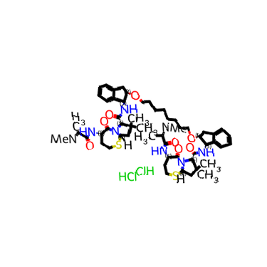 CNC(C)C(=O)N[C@H]1CCS[C@H]2CC(C)(C)[C@@H](C(=O)N[C@H]3c4ccccc4C[C@H]3OCCCCCCCCO[C@@H]3Cc4ccccc4[C@@H]3NC(=O)[C@H]3N4C(=O)[C@@H](NC(=O)C(C)NC)CCS[C@H]4CC3(C)C)N2C1=O.Cl.Cl